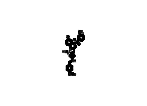 COc1ccc(CNC2CC(C[C@H]3CN(S(=O)(=O)c4cccc(C(F)(F)F)c4)c4cc(Br)ccc4O3)(C(=O)O)C2)cc1